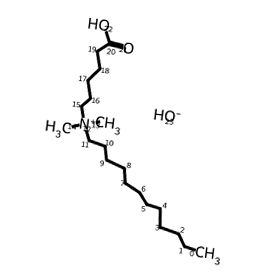 CCCCCCCCCCCC[N+](C)(C)CCCCCC(=O)O.[OH-]